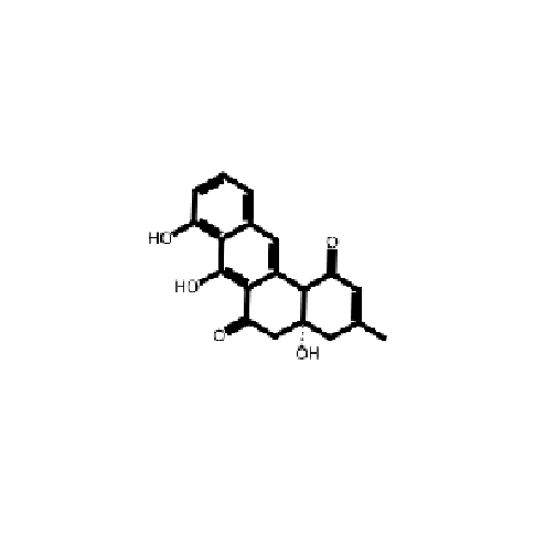 CC1=CC(=O)C2c3cc4cccc(O)c4c(O)c3C(=O)C[C@]2(O)C1